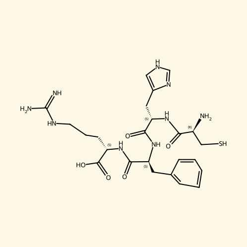 N=C(N)NCCC[C@H](NC(=O)[C@H](Cc1ccccc1)NC(=O)[C@H](Cc1c[nH]cn1)NC(=O)[C@@H](N)CS)C(=O)O